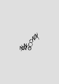 CC[C@H]1CN(c2ccc3c(c2)CCC(=O)C(c2cn4cc(C)nc(C)c4n2)=C3)CCN1CC